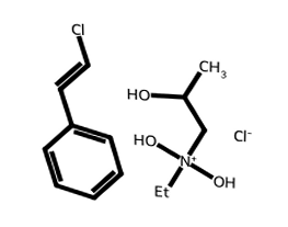 CC[N+](O)(O)CC(C)O.ClC=Cc1ccccc1.[Cl-]